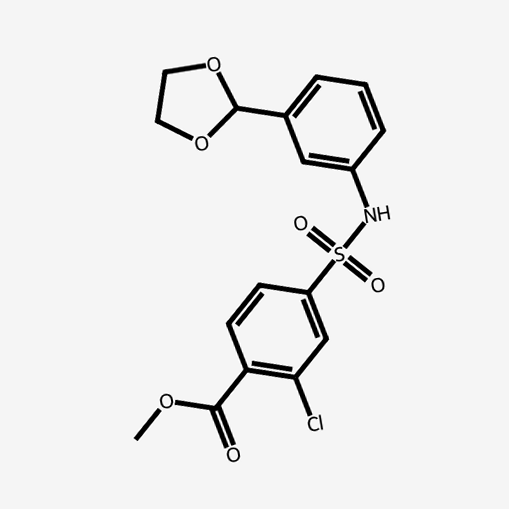 COC(=O)c1ccc(S(=O)(=O)Nc2cccc(C3OCCO3)c2)cc1Cl